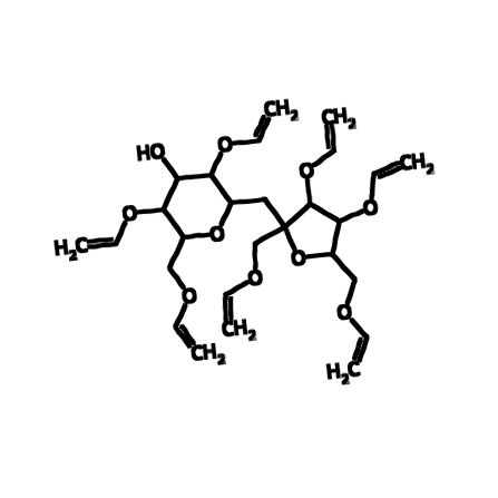 C=COCC1OC(CC2(COC=C)OC(COC=C)C(OC=C)C2OC=C)C(OC=C)C(O)C1OC=C